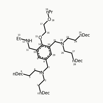 CCCCCCCCCCCCN(CCCCCCCCCCCC)Cc1cc(CNCC)c(OCCOCCC)c(CN(CCCCCCCCCCCC)CCCCCCCCCCCC)c1